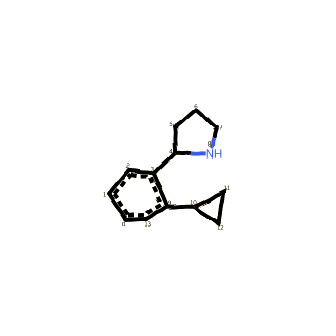 c1ccc(C2CCCN2)c(C2CC2)c1